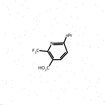 CCCc1ccc(C(=O)O)c(C(F)(F)F)n1